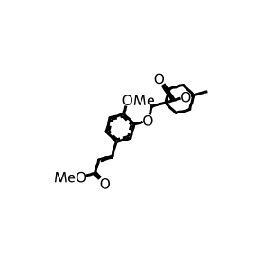 COC(=O)C=Cc1ccc(OC)c(OCC23CCC(C)(CC2)OC3=O)c1